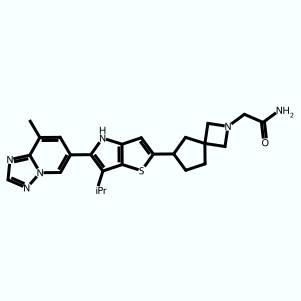 Cc1cc(-c2[nH]c3cc(C4CCC5(C4)CN(CC(N)=O)C5)sc3c2C(C)C)cn2ncnc12